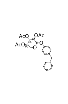 CC(=O)O[C@@H]1[C@@H](OC(C)=O)[C@@H](Oc2ccc(Cc3ccccc3)cc2)OC[C@H]1OC(C)=O